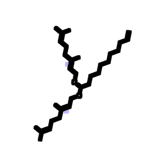 C=CCCCCCCCCC(OC/C=C(\C)CCC=C(C)C)OC/C=C(\C)CCC=C(C)C